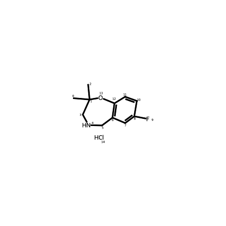 CC1(C)CNCc2cc(F)ccc2O1.Cl